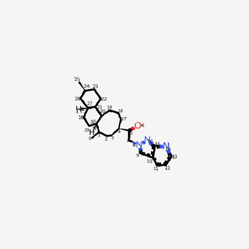 CC1CC[C@H](C(=O)Cn2cc3cccnc3n2)CCCC2C3CC[C@H](C)C[C@H]3CC[C@@H]12